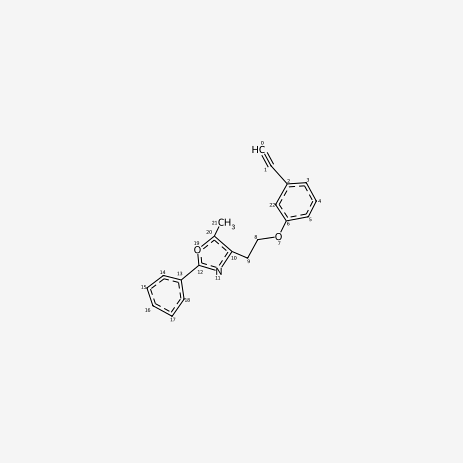 C#Cc1cccc(OCCc2nc(-c3ccccc3)oc2C)c1